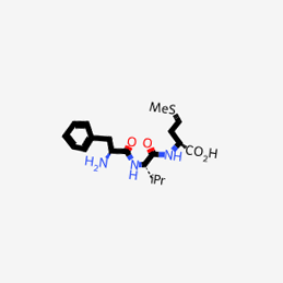 CSCC[C@H](NC(=O)[C@@H](NC(=O)[C@@H](N)Cc1ccccc1)C(C)C)C(=O)O